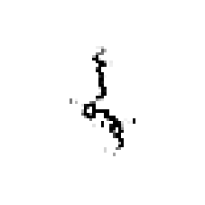 C=CC(O)(C/C=C/[C@@H]1[C@@H](C/C=C\CCCC(=O)CO)[C@@H](O)C[C@H]1O)CCCC